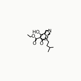 CCOC(=O)c1c(O)c2cncn2n(CCC(C)C)c1=O